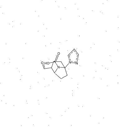 O=CC1CCC2(n3cccn3)CCC1N2C(=O)O